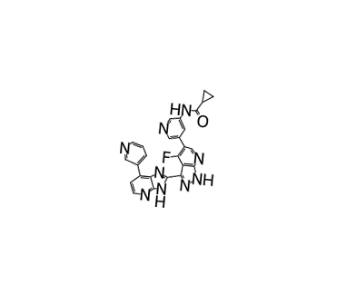 O=C(Nc1cncc(-c2cnc3[nH]nc(-c4nc5c(-c6cccnc6)ccnc5[nH]4)c3c2F)c1)C1CC1